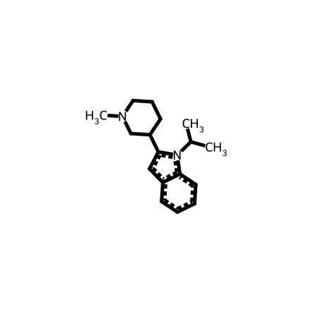 CC(C)n1c(C2CCCN(C)C2)cc2ccccc21